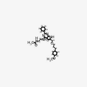 COc1ccc(CCCOCc2cc3c(NCCNC(C)=O)nc(-c4ccccc4)nc3[nH]2)cc1